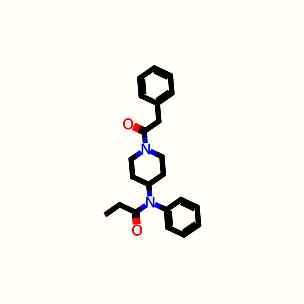 CCC(=O)N(c1ccccc1)C1CCN(C(=O)Cc2ccccc2)CC1